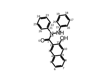 O=C(c1cc2ccccc2cc1O)N(Nc1ccccc1)c1ccccc1